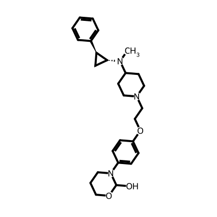 CN(C1CCN(CCOc2ccc(N3CCCOC3O)cc2)CC1)[C@@H]1C[C@H]1c1ccccc1